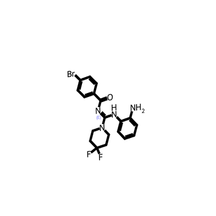 Nc1ccccc1N/C(=N\C(=O)c1ccc(Br)cc1)N1CCC(F)(F)CC1